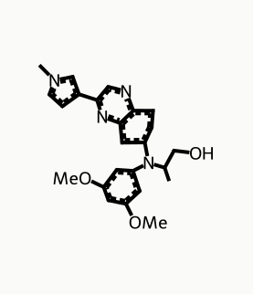 COc1cc(OC)cc(N(c2ccc3ncc(-c4ccn(C)c4)nc3c2)C(C)CO)c1